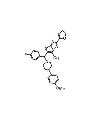 COc1ccc(N2CCN(C(c3ccc(F)cc3)c3sc4nc(C5=CCCO5)nn4c3O)CC2)cc1